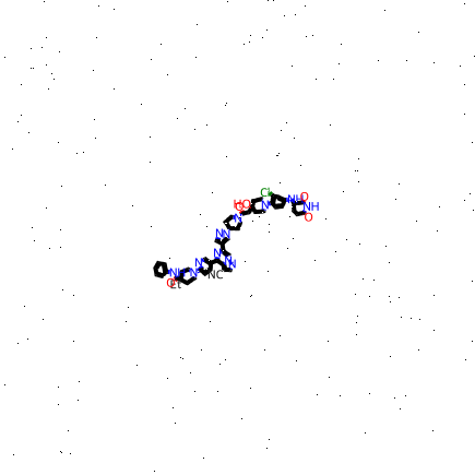 CCC1(C(=O)Nc2ccccc2)CCN(c2ccc(-c3nc(-c4cnn(C5CCN(C(=O)CC6(O)CCN(c7ccc(NC8CCC(=O)NC8=O)cc7Cl)CC6)CC5)c4)cn4ncc(C#N)c34)cn2)CC1